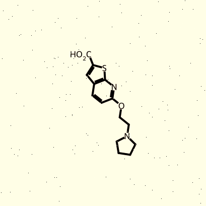 O=C(O)c1cc2ccc(OCCN3CCCC3)nc2s1